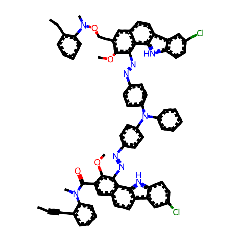 CC#Cc1ccccc1N(C)C(=O)c1cc2ccc3c4cc(Cl)ccc4[nH]c3c2c(N=Nc2ccc(N(c3ccccc3)c3ccc(N=Nc4c(OC)c(CON(C)c5ccccc5CC)cc5ccc6c7cc(Cl)ccc7[nH]c6c45)cc3)cc2)c1OC